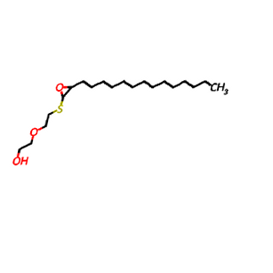 CCCCCCCCCCCCCCC1OC1SCCOCCO